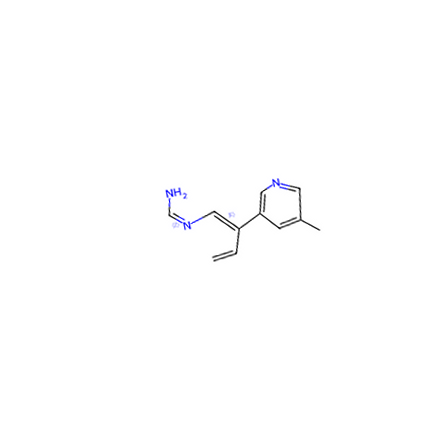 C=C/C(=C\N=C/N)c1cncc(C)c1